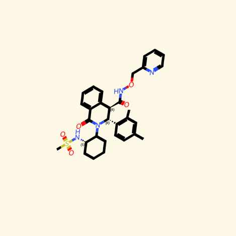 Cc1ccc([C@H]2[C@H](C(=O)NOCc3ccccn3)c3ccccc3C(=O)N2C2CCCC[C@@H]2NS(C)(=O)=O)c(C)c1